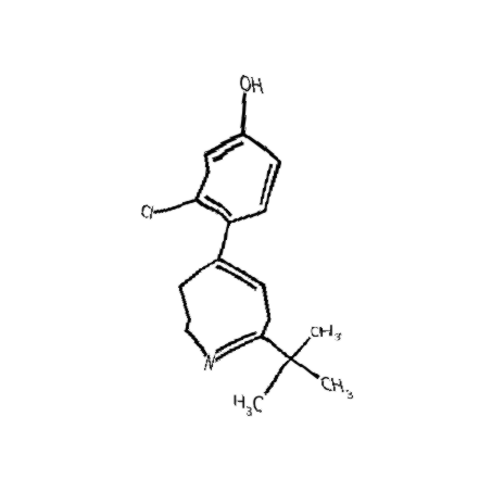 CC(C)(C)C1=NCCC(c2ccc(O)cc2Cl)=C1